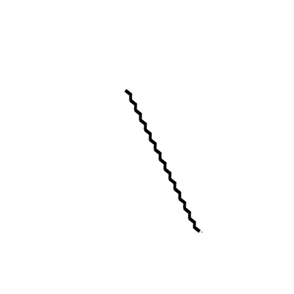 [CH]=CC=CC=CC=CC=CC=CC=CC=CC=CC=CC=CC=CC=CC=CC=C